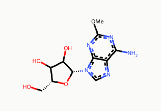 COc1nc(N)c2ncn([C@@H]3O[C@H](CO)C(O)C3O)c2n1